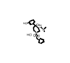 CN(C)C[C@@H]1CN(S(=O)(=O)Cc2ccccc2)CC[C@@]1(O)c1cccc(O)c1.Cl